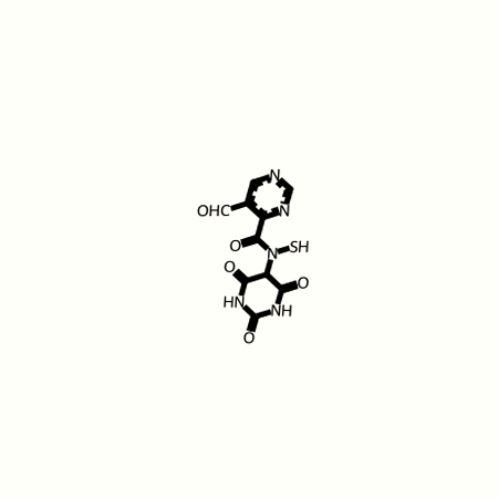 O=Cc1cncnc1C(=O)N(S)C1C(=O)NC(=O)NC1=O